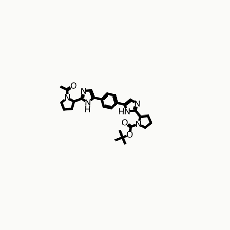 CC(=O)N1CCCC1c1ncc(-c2ccc(-c3cnc(C4CCCN4C(=O)OC(C)(C)C)[nH]3)cc2)[nH]1